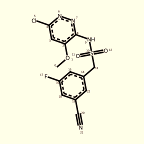 COc1cc(Cl)nnc1NS(=O)(=O)Cc1cc(F)cc(C#N)c1